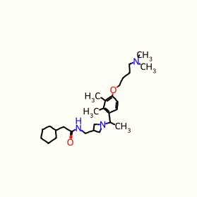 Cc1c(OCCCCN(C)C)ccc(C(C)N2CC(CNC(=O)CC3CCCCC3)C2)c1C